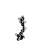 O=C1CCC(N2C(=O)c3ccc(/C=C/C(=O)N4CCN(c5cccc(-c6cnc7ccc(N8CCCC8c8cccc(F)c8)nn67)n5)CC4)cc3C2=O)C(=O)N1